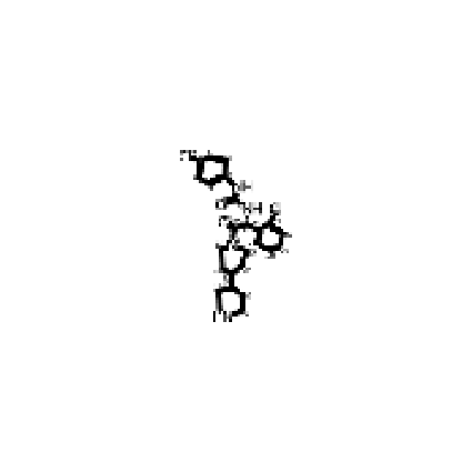 O=C(Nc1ccc(Cl)cc1)N[C@@H](C(=O)N1CCC(C2CCNCC2)CC1)c1ccccc1Cl